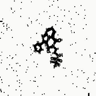 O=c1c2cccc3nc(-c4ccccc4)c(c(=O)n1CCNS(=O)(=O)C(F)(F)F)n32